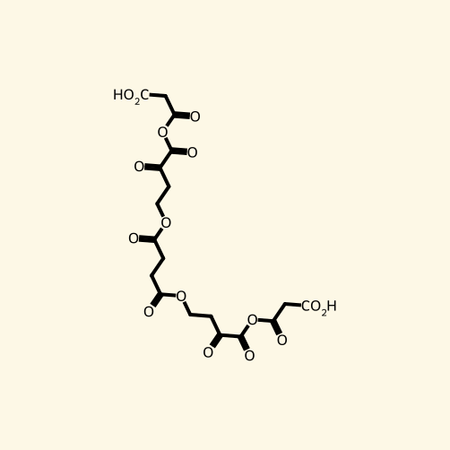 O=C(O)CC(=O)OC(=O)C(=O)CCOC(=O)CCC(=O)OCCC(=O)C(=O)OC(=O)CC(=O)O